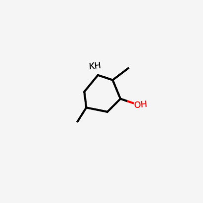 CC1CCC(C)C(O)C1.[KH]